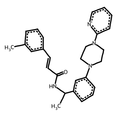 Cc1cccc(C=CC(=O)NC(C)c2cccc(N3CCN(c4ccccn4)CC3)c2)c1